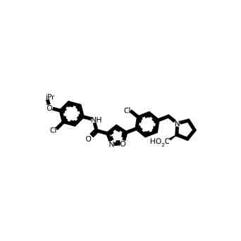 CC(C)Oc1ccc(NC(=O)c2cc(-c3ccc(CN4CCC[C@H]4C(=O)O)cc3Cl)on2)cc1Cl